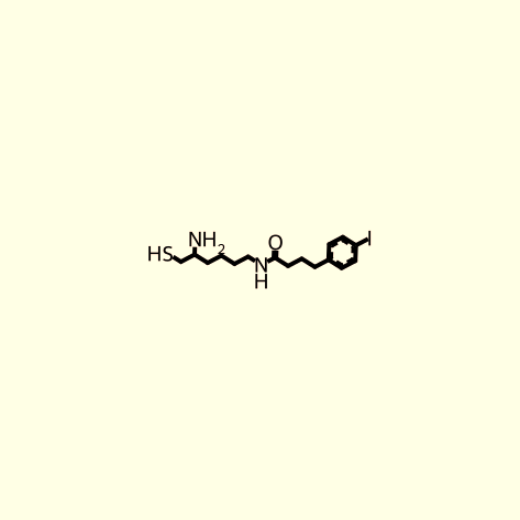 NC(CS)CCCCNC(=O)CCCc1ccc(I)cc1